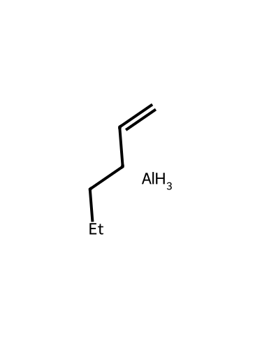 [AlH3].[CH2]CCCC=C